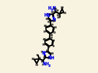 CC1([C@H](N)c2nc(-c3ccc(-c4ccc(-c5c[nH]c([C@@H](N)C6(C)CC6)n5)cc4)cc3)c[nH]2)CC1